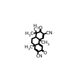 CC12C=C(C#N)C(=O)C=C1C1(C)C=C(C#N)C(=O)C(C)(C)C1CC2